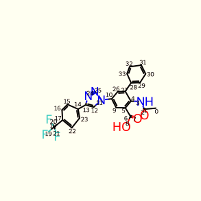 CC(=O)Nc1c(C(=O)O)cc(-n2cc(-c3ccc(C(F)(F)F)cc3)nn2)cc1-c1ccccc1